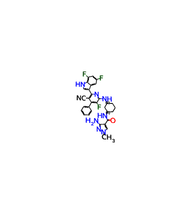 Cn1cc(C(=O)N[C@@H]2CCC[C@H](Nc3nc(-c4c[nH]c5c(F)cc(F)cc45)c(C#N)c(-c4ccccc4)c3F)C2)c(N)n1